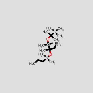 CCC[Si](C)(C)OC(C)(CC)[Si](C)(C)OC(C)(C)[Si](C)(C)C